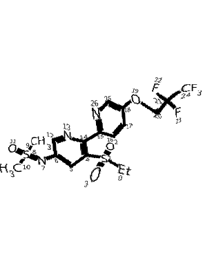 CCS(=O)(=O)c1cc(N=S(C)(C)=O)cnc1-c1ccc(OCC(F)(F)C(F)(F)F)cn1